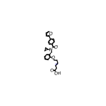 O=C(O)C/C=C/CCOc1ccccc1CN(C(=O)c1ccc(-c2ccco2)cc1)C1CC1